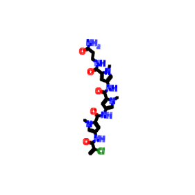 C=C(Cl)C(=O)Nc1cc(C(=O)Nc2cc(C(=O)Nc3cc(C(=O)NCCC(N)=O)n(C)c3)n(C)c2)n(C)c1